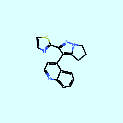 c1ccc2c(-c3c(-c4nccs4)nn4c3CCC4)ccnc2c1